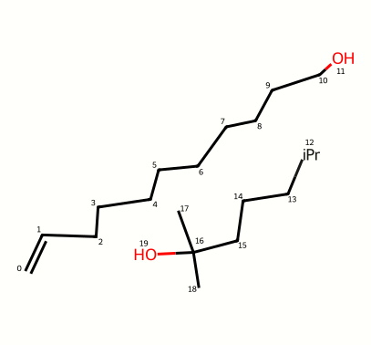 C=CCCCCCCCCCO.CC(C)CCCC(C)(C)O